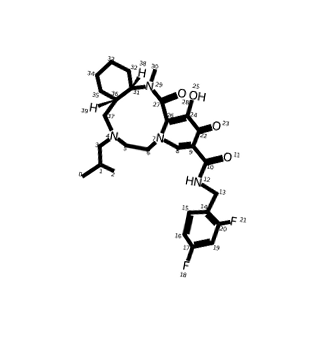 CC(C)CN1CCn2cc(C(=O)NCc3ccc(F)cc3F)c(=O)c(O)c2C(=O)N(C)[C@H]2CCCC[C@H]2C1